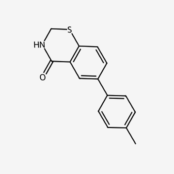 Cc1ccc(-c2ccc3c(c2)C(=O)NCS3)cc1